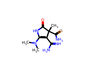 CN(C)C1=C(C(=N)N)C(C)(C(N)=S)C(=O)N1